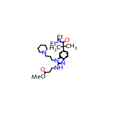 CCN(CC)C(=O)C(C)(C)c1ccc2nc(NCCC(=O)OC)n(CCCN3CCCCC3)c2c1